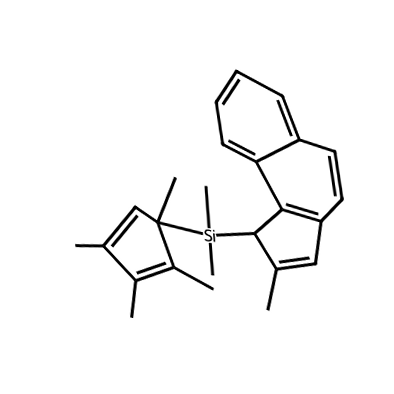 CC1=CC(C)([Si](C)(C)C2C(C)=Cc3ccc4ccccc4c32)C(C)=C1C